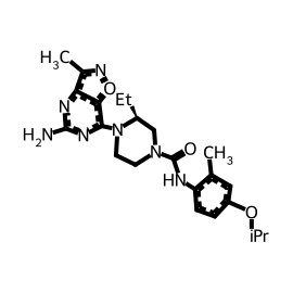 CC[C@H]1CN(C(=O)Nc2ccc(OC(C)C)cc2C)CCN1c1nc(N)nc2c(C)noc12